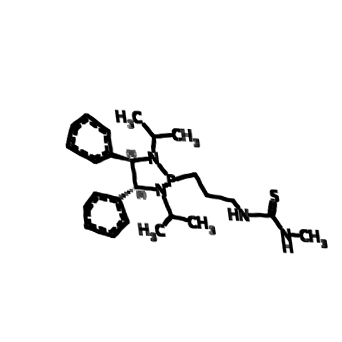 CNC(=S)NCCCP1N(C(C)C)[C@H](c2ccccc2)[C@@H](c2ccccc2)N1C(C)C